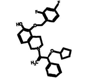 C=C([C@@H](OC1CCCC1)c1ccccc1)N1CCc2c(ccc(O)c2OCc2ccc(F)cc2F)C1